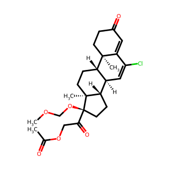 COCO[C@]1(C(=O)COC(C)=O)CC[C@H]2[C@@H]3C=C(Cl)C4=CC(=O)CC[C@]4(C)[C@H]3CC[C@@]21C